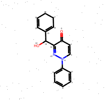 O=c1ccn(-c2ccccc2)nc1C(O)C1=C[CH]CC=C1